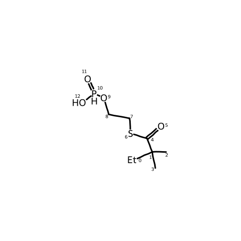 CCC(C)(C)C(=O)SCCO[PH](=O)O